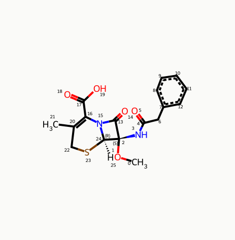 CO[C@@]1(NC(=O)Cc2ccccc2)C(=O)N2C(C(=O)O)=C(C)CS[C@@H]21